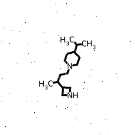 CC(C)C1CCN(CCC(C)C2CNC2)CC1